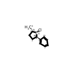 C[C@H]1CC[C@H](c2ccccc2)P1Cl